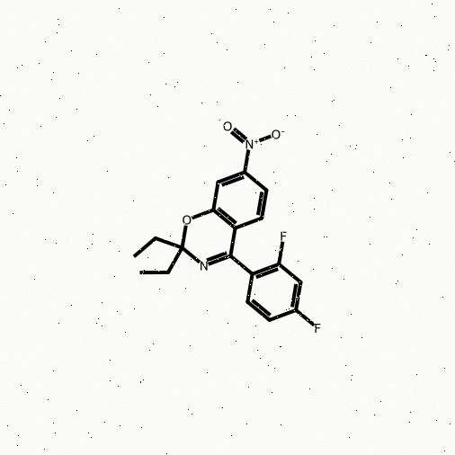 CCC1(CC)N=C(c2ccc(F)cc2F)c2ccc([N+](=O)[O-])cc2O1